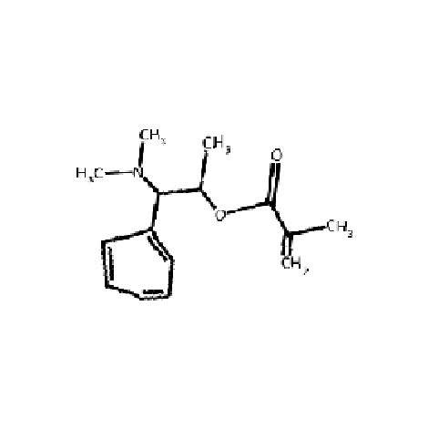 C=C(C)C(=O)OC(C)C(c1ccccc1)N(C)C